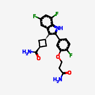 NC(=O)CCOc1cc(-c2[nH]c3c(F)cc(F)cc3c2[C@H]2C[C@H](C(N)=O)C2)ccc1F